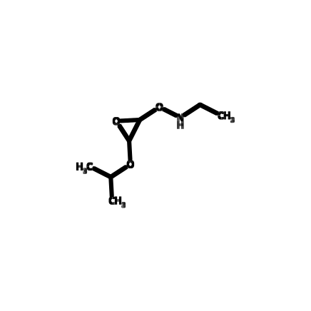 CCNOC1OC1OC(C)C